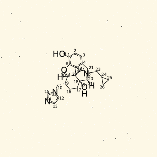 Oc1ccc2c3c1O[C@H]1[C@@H](Cn4ccnc4)CC[C@@]4(O)[C@@H](C2)N(CC2CC2)CC[C@]314